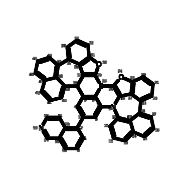 c1cc(-c2cc3c4c(c2)-n2c5cccc6cccc(c7cccc8oc(c2c87)B4c2oc4cccc7c4c2C3c2cccc3cccc-7c23)c65)c2ccncc2c1